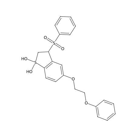 O=S(=O)(c1ccccc1)C1CS(O)(O)c2ccc(OCCOc3ccccc3)cc21